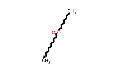 C/C=C/CCCCCCCCC(=O)OCCCCCCCCC